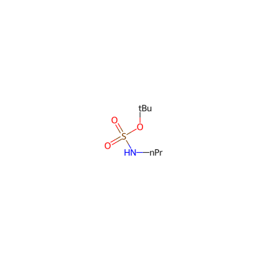 CCCNS(=O)(=O)OC(C)(C)C